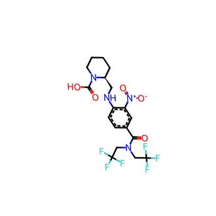 O=C(c1ccc(NC[C@@H]2CCCCN2C(=O)O)c([N+](=O)[O-])c1)N(CC(F)(F)F)CC(F)(F)F